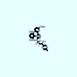 COc1cccc(-c2nnc(NS(=O)(=O)[C@@H](C)[C@H](O)c3cnc(C)cn3)n2-c2c(OC)cccc2OC)n1